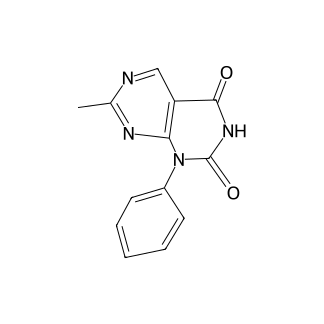 Cc1ncc2c(=O)[nH]c(=O)n(-c3ccccc3)c2n1